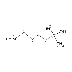 CCCCCCCCCCC(C)(O)C(C)C